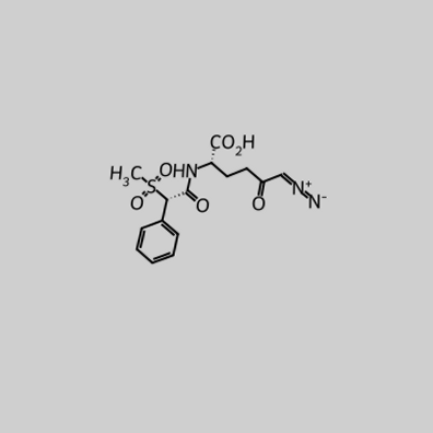 CS(=O)(=O)[C@H](C(=O)N[C@@H](CCC(=O)C=[N+]=[N-])C(=O)O)c1ccccc1